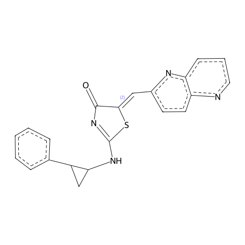 O=C1N=C(NC2CC2c2ccccc2)S/C1=C\c1ccc2ncccc2n1